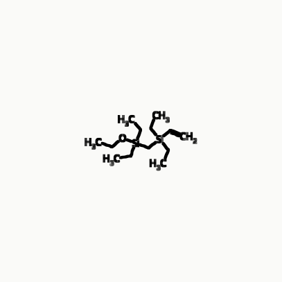 C=C[Si](CC)(CC)C[Si](CC)(CC)OCC